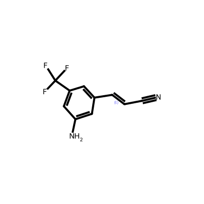 N#C/C=C/c1cc(N)cc(C(F)(F)F)c1